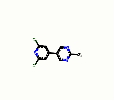 FC(F)(F)c1ncc(-c2cc(Cl)nc(Cl)c2)cn1